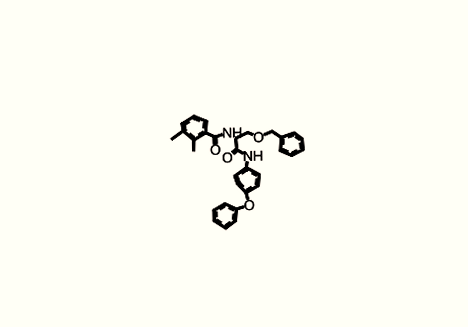 Cc1cccc(C(=O)NC(COCc2ccccc2)C(=O)Nc2ccc(Oc3ccccc3)cc2)c1C